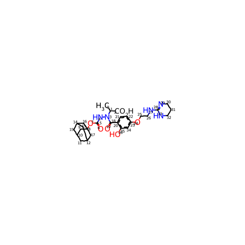 C[C@@H](C(=O)O)N(NC(=O)OC12CC3CC(CC(C3)C1)C2)C(=O)c1ccc(OCCNC2=NCCCN2)cc1O